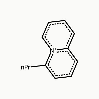 CCCc1cccc2cccc[n+]12